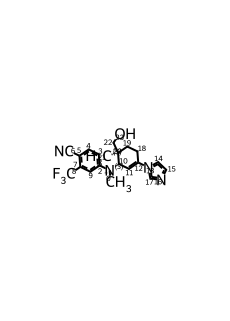 CN(c1ccc(C#N)c(C(F)(F)F)c1)[C@H]1C=C(n2ccnc2)CC[C@]1(C)CO